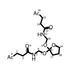 CC(=O)CCC(=O)NCOC1(OCNC(=O)CCC(C)=O)CCCO1